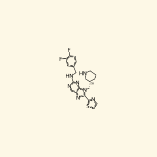 Fc1ccc(CNc2ncc3nc(-c4nccs4)n(C[C@H]4CCCNC4)c3n2)cc1F